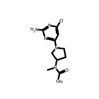 CN(C(=O)O)C1CCN(c2cc(Cl)nc(N)n2)C1